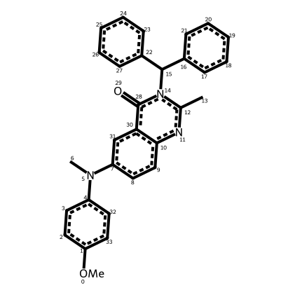 COc1ccc(N(C)c2ccc3nc(C)n(C(c4ccccc4)c4ccccc4)c(=O)c3c2)cc1